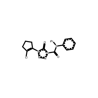 CC(C)N(C(=O)n1nnn(C2=C(Cl)CCC2)c1=O)c1ccccc1